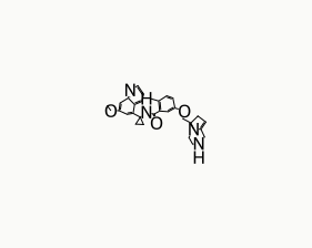 COc1cc(C2(NC(=O)c3cc(OCC4CC=C5CNCCN54)ccc3C)CC2)c2cccnc2c1